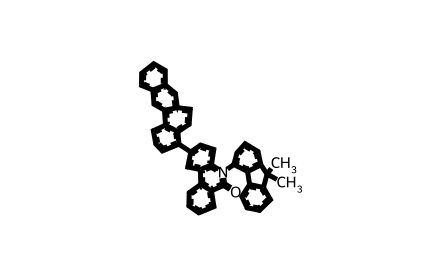 CC1(C)c2ccccc2-c2c(-n3c(=O)c4ccccc4c4cc(-c5cccc6c5ccc5cc7ccccc7cc56)ccc43)cccc21